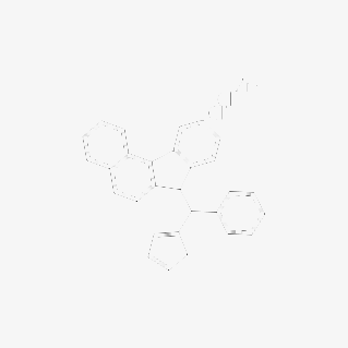 C1=CCC(C(c2ccccc2)C2c3ccccc3-c3c2ccc2ccccc32)=C1.[Cl-].[Cl-].[Zr+2]